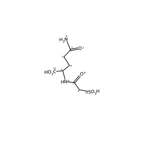 NC(=O)CCC(NC(=O)CS(=O)(=O)O)C(=O)O